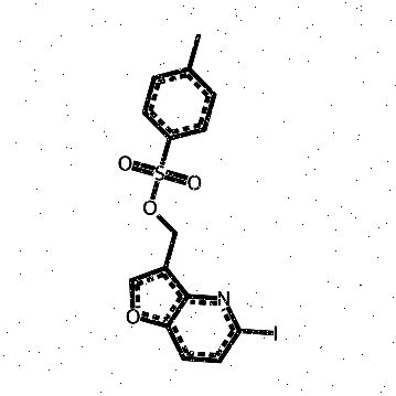 Cc1ccc(S(=O)(=O)OCc2coc3ccc(I)nc23)cc1